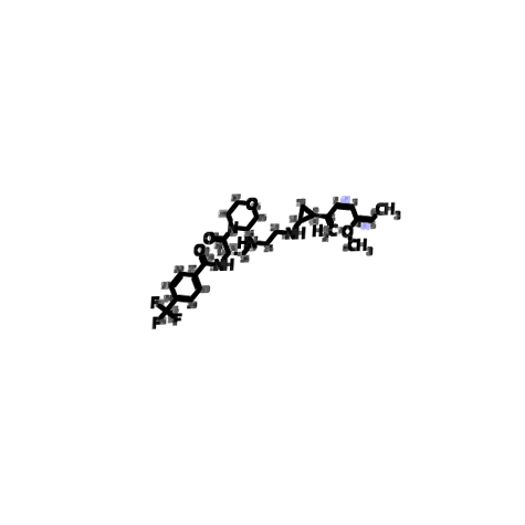 C=C(/C=C\C(=C/C)OC)[C@@H]1CC1NCCNC[C@H](NC(=O)c1ccc(C(F)(F)F)cc1)C(=O)N1CCOCC1